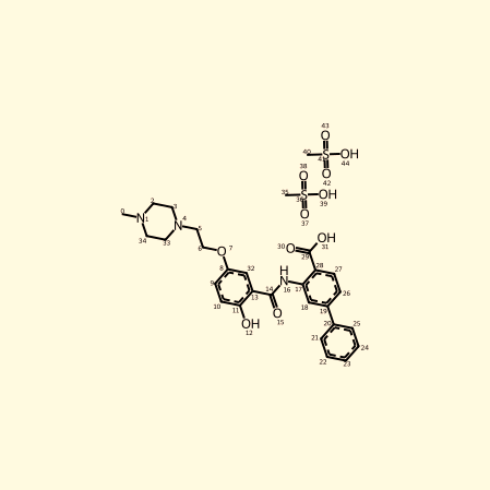 CN1CCN(CCOc2ccc(O)c(C(=O)Nc3cc(-c4ccccc4)ccc3C(=O)O)c2)CC1.CS(=O)(=O)O.CS(=O)(=O)O